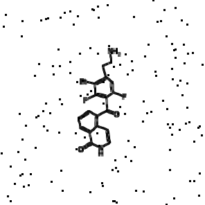 CCc1c(CCN)cc(F)c(C(=O)c2cccc3c(=O)[nH]ccc23)c1F